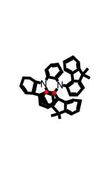 CC1(C)c2c#ccc(N(c3ccccc3-n3c4c(c5ccccc53)C=CCC4)c3cccc4c3-c3ccccc3C4(C)C)c2-c2ccccc21